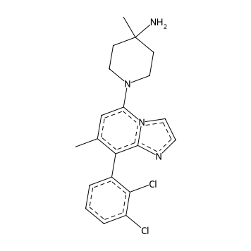 Cc1cc(N2CCC(C)(N)CC2)n2ccnc2c1-c1cccc(Cl)c1Cl